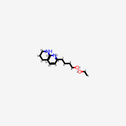 CCOOCCCCc1ccc2c(n1)NCCC2